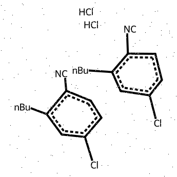 Cl.Cl.[C-]#[N+]c1ccc(Cl)cc1CCCC.[C-]#[N+]c1ccc(Cl)cc1CCCC